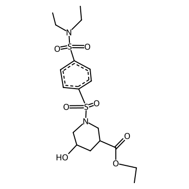 CCOC(=O)C1CC(O)CN(S(=O)(=O)c2ccc(S(=O)(=O)N(CC)CC)cc2)C1